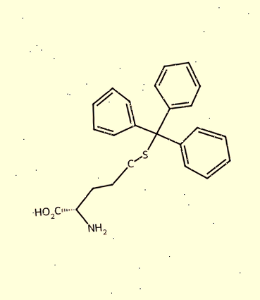 N[C@@H](CCCSC(c1ccccc1)(c1ccccc1)c1ccccc1)C(=O)O